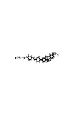 CCCCCCCC1CCC(/C=C/C2CCC(c3ccc(C(F)(F)Oc4ccc(C(F)(F)F)cc4)c(F)c3)CC2)CC1